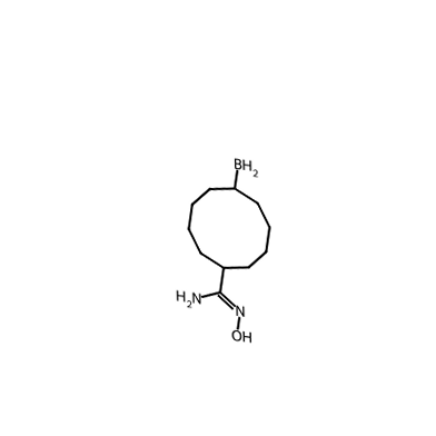 BC1CCCCC(/C(N)=N/O)CCCC1